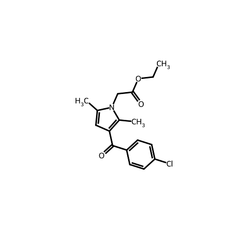 CCOC(=O)Cn1c(C)cc(C(=O)c2ccc(Cl)cc2)c1C